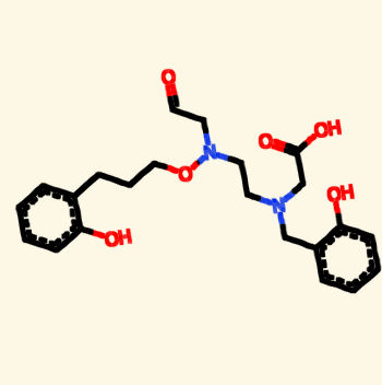 O=CCN(CCN(CC(=O)O)Cc1ccccc1O)OCCCc1ccccc1O